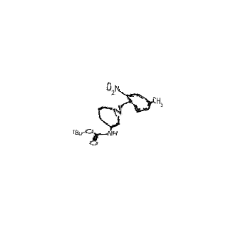 Cc1ccc(N2CCCC(NC(=O)OC(C)(C)C)C2)c([N+](=O)[O-])c1